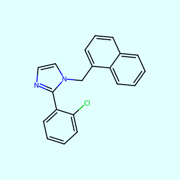 Clc1ccccc1-c1nccn1Cc1cccc2ccccc12